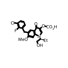 CC[C@@H](CO)n1cc(OC(=O)O)c(=O)c2cc(Cc3cccc(Cl)c3F)c(OC)cc21